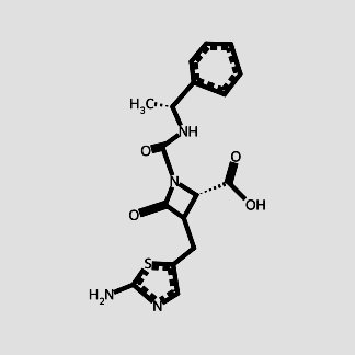 C[C@@H](NC(=O)N1C(=O)C(Cc2cnc(N)s2)[C@H]1C(=O)O)c1ccccc1